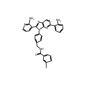 Nc1ccccc1-c1ccc2nc(-c3cccnc3N)n(-c3ccc(CNC(=O)c4cccc(F)c4)cc3)c2n1